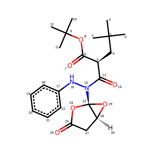 CC(C)(C)C[C@H](C(=O)OC(C)(C)C)C(=O)N(Nc1ccccc1)[C@]12OC(=O)C[C@@H]1O2